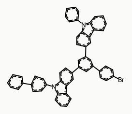 Brc1ccc(-c2cc(-c3ccc4c(c3)c3ccccc3n4-c3ccccc3)cc(-c3ccc4c(c3)c3ccccc3n4-c3ccc(-c4ccccc4)cc3)c2)cc1